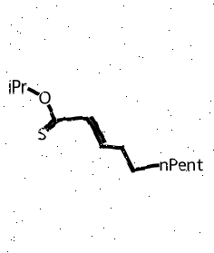 CCCCCCCC=CC(=S)OC(C)C